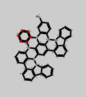 CC(C)(C)c1ccc2c(c1)N(c1ccccc1)c1c3c(cc4c1N(c1ccccc1)c1cccc5c1B4n1c4ccccc4c4cccc-5c41)-c1cccc4c5ccccc5n(c14)B23